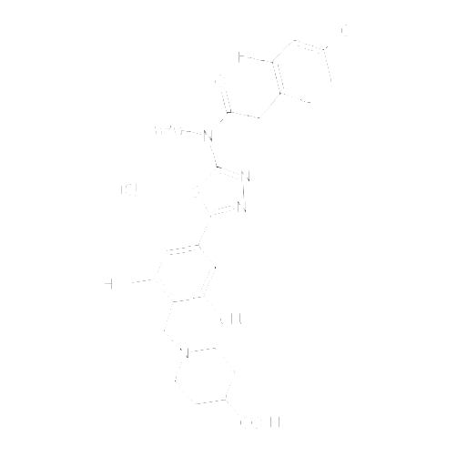 CCCCN(C(=O)Cc1ccc(Cl)cc1F)c1nnc(-c2cc(C)c(CN3CCC(C(=O)O)CC3)c(C)c2)s1.Cl